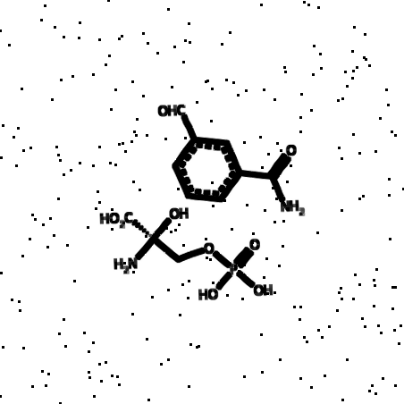 NC(=O)c1cccc(C=O)c1.N[C@@](O)(COP(=O)(O)O)C(=O)O